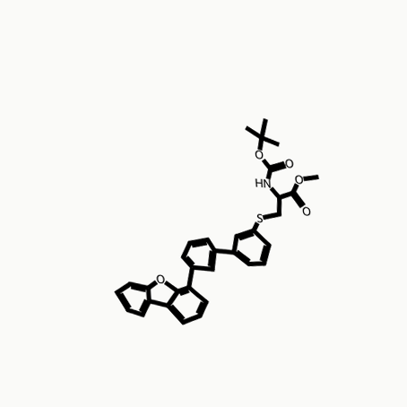 COC(=O)C(CSc1cccc(-c2cccc(-c3cccc4c3oc3ccccc34)c2)c1)NC(=O)OC(C)(C)C